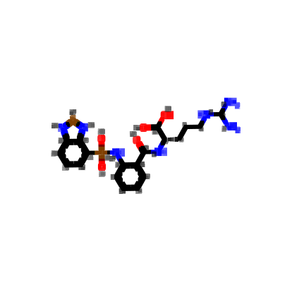 NC(N)NCCC[C@H](NC(=O)c1ccccc1NS(=O)(=O)c1cccc2nsnc12)C(=O)O